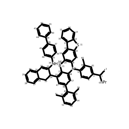 CCCC(I)c1ccc(N2c3cc4sc5ccccc5c4cc3Bc3c(C4Cc5ccccc5C=C4Nc4ccc(-c5ccccc5)cc4)cc(-c4c(C)cccc4C)cc32)c(C)c1